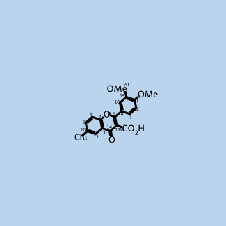 COc1ccc(-c2oc3ccc(Cl)cc3c(=O)c2C(=O)O)cc1OC